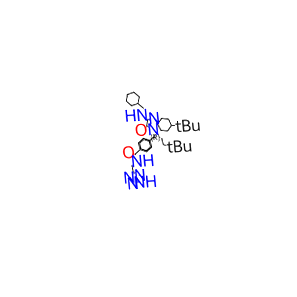 CC(C)(C)CC[C@H](c1ccc(C(=O)NCc2nn[nH]n2)cc1)N1C(=O)C(NCC2CCCCC2)=NC12CCC(C(C)(C)C)CC2